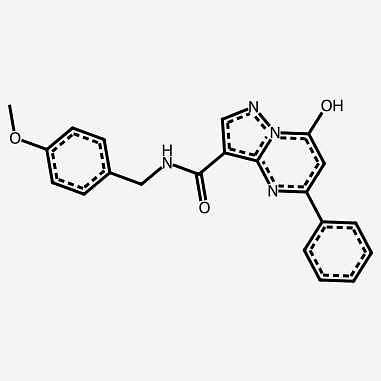 COc1ccc(CNC(=O)c2cnn3c(O)cc(-c4ccccc4)nc23)cc1